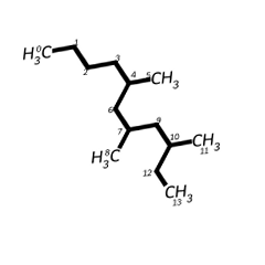 CCCCC(C)CC(C)CC(C)CC